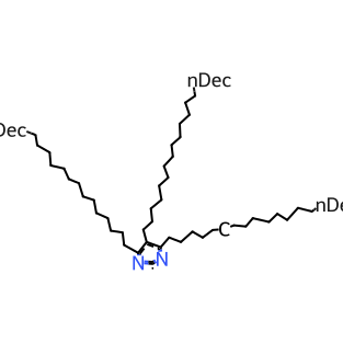 CCCCCCCCCCCCCCCCCCCCCCCCc1n[c]nc(CCCCCCCCCCCCCCCCCCCCCCCC)c1CCCCCCCCCCCCCCCCCCCCCCCC